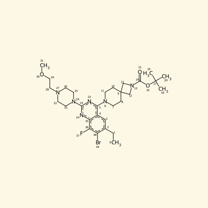 CCc1cc2c(N3CCC4(CC3)CN(C(=O)OC(C)(C)C)C4)nc(N3CCN(CCOC)CC3)nc2c(F)c1Br